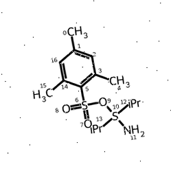 Cc1cc(C)c(S(=O)(=O)OS(N)(C(C)C)C(C)C)c(C)c1